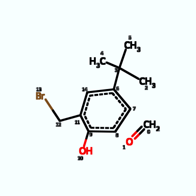 C=O.CC(C)(C)c1ccc(O)c(CBr)c1